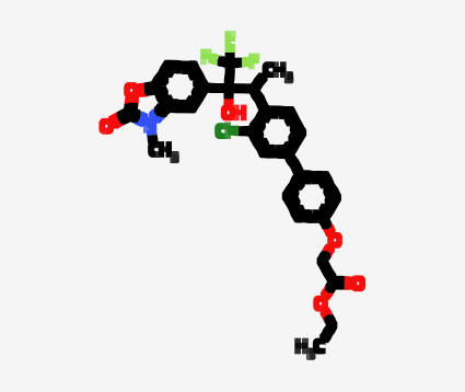 CCOC(=O)COc1ccc(-c2ccc(C(C)C(O)(c3ccc4oc(=O)n(C)c4c3)C(F)(F)F)c(Cl)c2)cc1